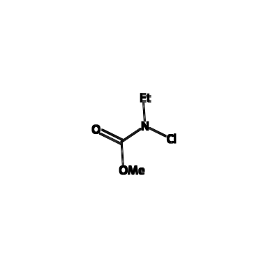 CCN(Cl)C(=O)OC